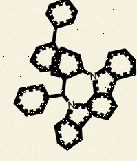 c1ccc(-c2cccc(CC(c3ccccc3)n3c4ccccc4c4ccc5c6ccccc6n(-c6ccccc6)c5c43)c2)cc1